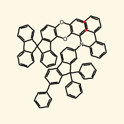 c1ccc(-c2ccc3c(c2)C(c2ccccc2)(c2ccccc2)c2cc(N(c4ccccc4-c4ccccc4)c4cccc5c4Oc4c(ccc6c4-c4ccccc4C64c6ccccc6-c6ccccc64)O5)ccc2-3)cc1